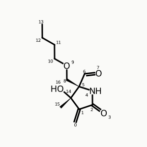 C=C1C(=O)N[C@](C=O)(COCCCC)[C@@]1(C)O